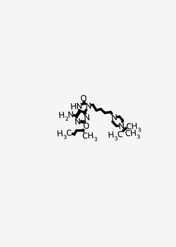 CCC[C@H](C)Oc1nc(N)c2[nH]c(=O)n(CCCCCN3CCN(C(C)(C)C)CC3)c2n1